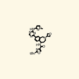 Cn1ccc(Nc2ncnc(-c3ccc4c(c3)CN(C3COC3)CC[C@@H]4NC(=O)c3coc(C(C)(C)C)n3)n2)n1